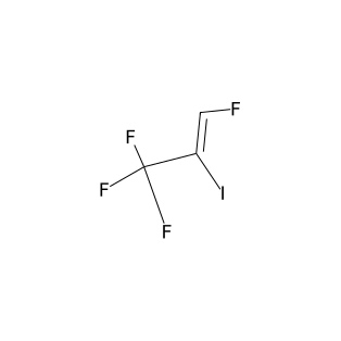 FC=C(I)C(F)(F)F